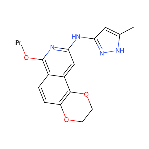 Cc1cc(Nc2cc3c4c(ccc3c(OC(C)C)n2)OCCO4)n[nH]1